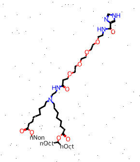 CCCCCCCCCOC(=O)CCCCCCCN(CCCCCCCC(=O)OC(CCCCCCCC)CCCCCCCC)CCNC(=O)CCOCCOCCOCCOCCNC(=O)c1c[nH]cn1